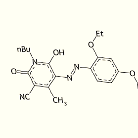 CCCCn1c(O)c(/N=N/c2ccc(OCC)cc2OCC)c(C)c(C#N)c1=O